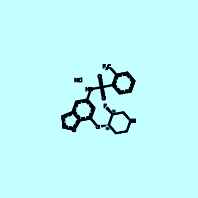 Cl.O=S(=O)(Nc1cc(O[C@H]2CCNC[C@@H]2F)c2occc2c1)c1ccccc1C(F)(F)F